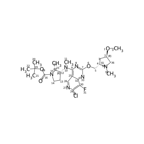 CO[C@@H]1C[C@@H](COc2nc(N(C)[C@@H]3CCN(C(=O)OC(C)(C)C)[C@@H]3C)c3cnc(Cl)c(F)c3n2)N(C)C1